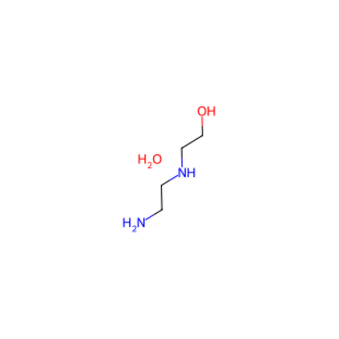 NCCNCCO.O